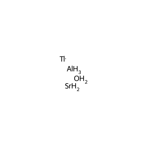 O.[AlH3].[SrH2].[Tl]